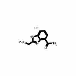 COCc1nc2c(C(N)=O)cccc2[nH]1.Cl